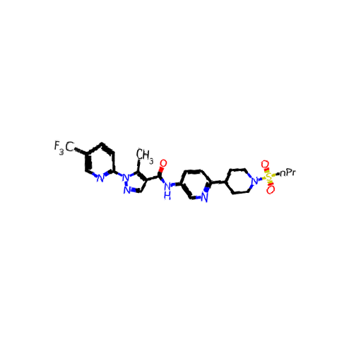 CCCS(=O)(=O)N1CCC(c2ccc(NC(=O)c3cnn(-c4ccc(C(F)(F)F)cn4)c3C)cn2)CC1